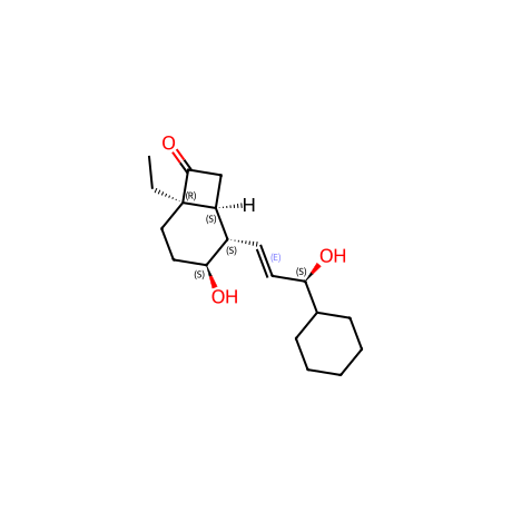 CC[C@@]12CC[C@H](O)[C@@H](/C=C/[C@@H](O)C3CCCCC3)[C@@H]1CC2=O